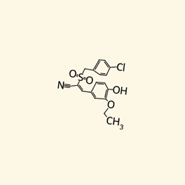 CCOc1cc(C=C(C#N)S(=O)(=O)Cc2ccc(Cl)cc2)ccc1O